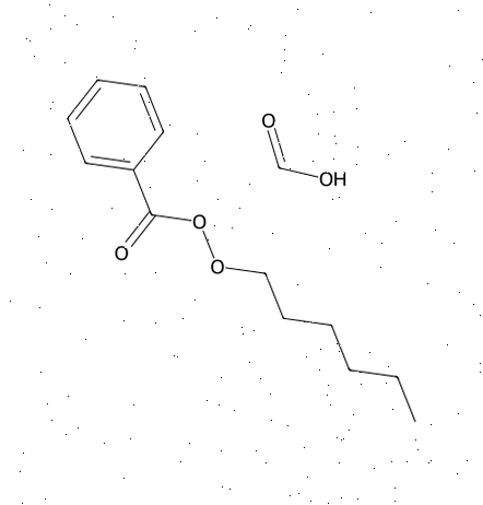 CCCCCCOOC(=O)c1ccccc1.O=CO